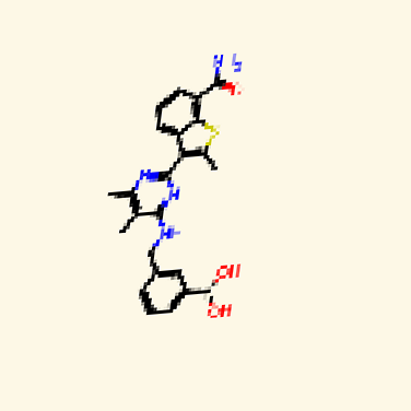 Cc1nc(-c2c(C)sc3c(C(N)=O)cccc23)nc(NCc2cccc(B(O)O)c2)c1C